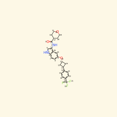 O=C(Nc1c[nH]c2ccc(O[C@H]3C[C@H](c4ccc(C(F)(F)F)cc4)C3)cc12)C1CCOCC1